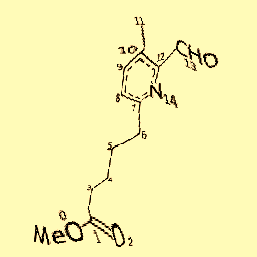 COC(=O)CCCCc1ccc(C)c(C=O)n1